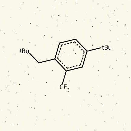 CC(C)(C)Cc1ccc(C(C)(C)C)cc1C(F)(F)F